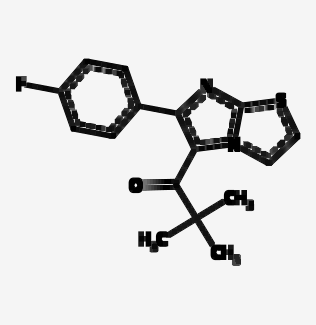 CC(C)(C)C(=O)c1c(-c2ccc(F)cc2)nc2sccn12